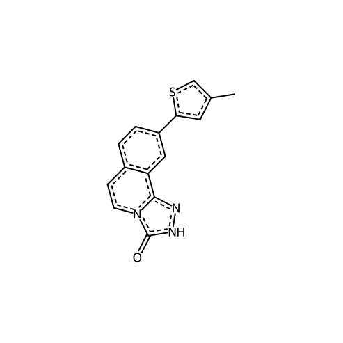 Cc1csc(-c2ccc3ccn4c(=O)[nH]nc4c3c2)c1